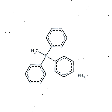 C[P+](c1ccccc1)(c1ccccc1)c1ccccc1.P.[I-]